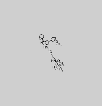 COc1cc(-c2cc(NCCOCCCCNC(=O)OC(C)(C)C)c3cnn(C4CCCCO4)c3c2)ccn1